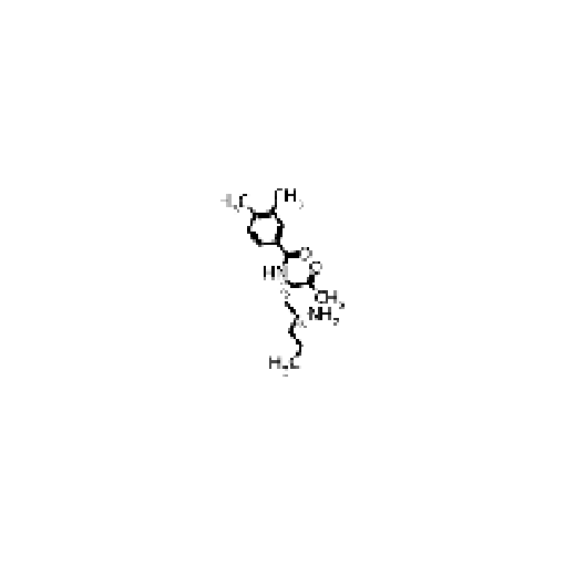 CCC[C@@H](N)C[C@H](NC(=O)c1ccc(C)c(C)c1)C(C)=O